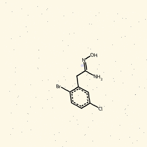 N/C(Cc1cc(Cl)ccc1Br)=N\O